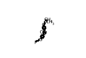 CN(C)CCOc1ccc(-n2ccn(-c3ccc(OCCCF)cc3)c2=O)cc1